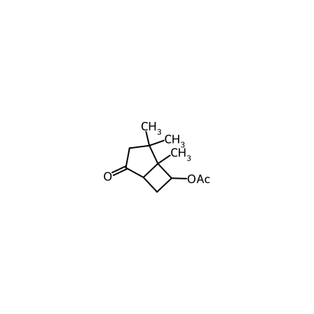 CC(=O)OC1CC2C(=O)CC(C)(C)C12C